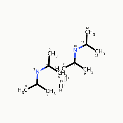 CC(C)[N-]C(C)C.CC(C)[N-]C(C)C.[Li+].[Li+]